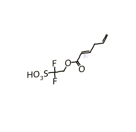 C=CC/C=C/C(=O)OCC(F)(F)S(=O)(=O)O